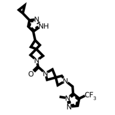 Cn1ncc(C(F)(F)F)c1CN1CC2(C1)CN(C(=O)N1CC3(CC(c4cc(C5CC5)n[nH]4)C3)C1)C2